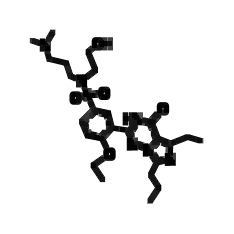 CCCc1nc(CC)c2c(=O)[nH]c(-c3cc(S(=O)(=O)N(CCO)CCCN(C)C)ccc3OCC)nn12